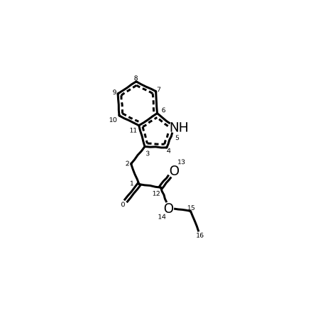 C=C(Cc1c[nH]c2ccccc12)C(=O)OCC